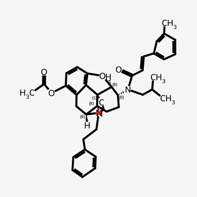 CC(=O)Oc1ccc2c3c1C[C@@H]1[C@@H]4CC[C@@H](N(CC(C)C)C(=O)C=Cc5cccc(C)c5)[C@H](O2)[C@]34CCN1CCc1ccccc1